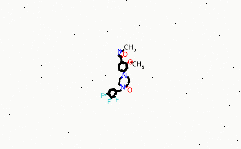 COc1cc(N2CCC(=O)N(Cc3ccc(F)c(F)c3F)CC2)ccc1-c1cnc(C)o1